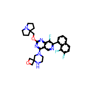 Fc1ccc2cccc(-c3ncc4c(N5CCNC6(COC6)C5)nc(OCC56CCCN5CCC6)nc4c3F)c2c1F